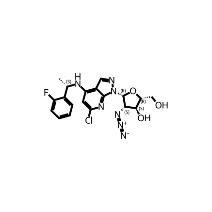 C[C@H](Nc1cc(Cl)nc2c1cnn2[C@@H]1O[C@H](CO)[C@@H](O)[C@@H]1N=[N+]=[N-])c1ccccc1F